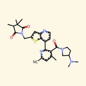 Cc1cc(C#N)nc(-c2ccnc3cc(CN4C(=O)C(C)C(C)(C)C4=O)sc23)c1C(=O)N1CCC(N(C)C)C1